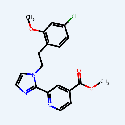 COC(=O)c1ccnc(-c2nccn2CCc2ccc(Cl)cc2OC)c1